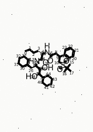 CCCC[C@H](NC(=O)CC(CS(=O)(=O)C(C)(C)C)c1ccccc1)C(=O)N[C@H](CC1CCCCC1)[C@H](O)[C@H](O)C1CCCCC1